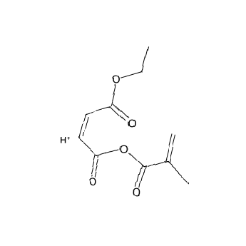 C=C(C)C(=O)OC(=O)/C=C\C(=O)OCC.[H+]